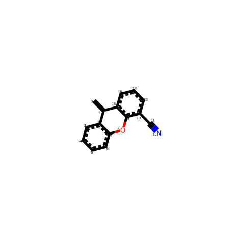 C=C1c2ccccc2Oc2c(C#N)cccc21